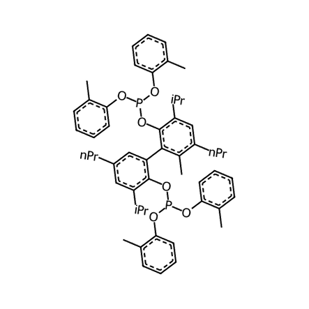 CCCc1cc(-c2c(C)c(CCC)cc(C(C)C)c2OP(Oc2ccccc2C)Oc2ccccc2C)c(OP(Oc2ccccc2C)Oc2ccccc2C)c(C(C)C)c1